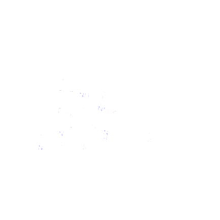 CN1CCN(c2c(F)c(NCc3ccccc3)c([N+](=O)[O-])c(NC3CC3)c2F)CC1